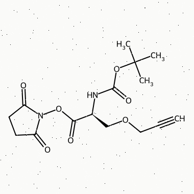 C#CCOC[C@H](NC(=O)OC(C)(C)C)C(=O)ON1C(=O)CCC1=O